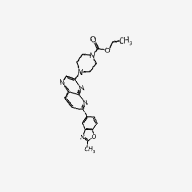 CCOC(=O)N1CCN(c2cnc3ccc(-c4ccc5oc(C)nc5c4)nc3n2)CC1